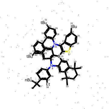 CCCCC(C)(C)c1ccc(N2c3cc4c(cc3B3c5sc6ccc(C(C)(C)C)cc6c5N(c5ccc(C(C)(C)C)cc5-c5ccc(C(C)(C)C)cc5)c5cc(C)cc2c53)C(C)(C)CCC4(C)C)cc1CC